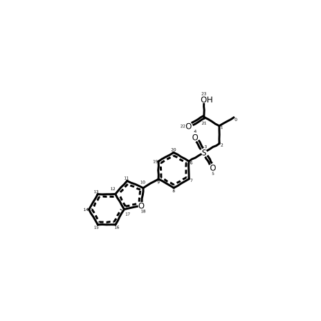 CC(CS(=O)(=O)c1ccc(-c2cc3ccccc3o2)cc1)C(=O)O